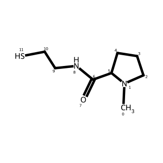 CN1CCCC1C(=O)NCCS